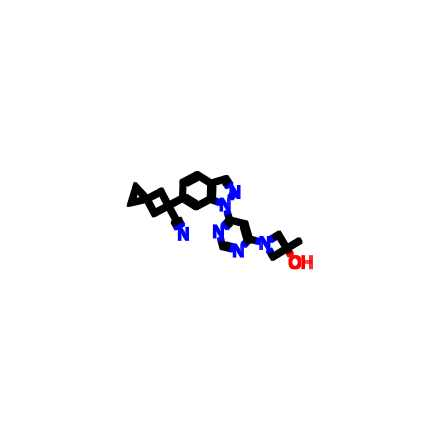 CC1(O)CN(c2cc(-n3ncc4ccc(C5(C#N)CC6(CC6)C5)cc43)ncn2)C1